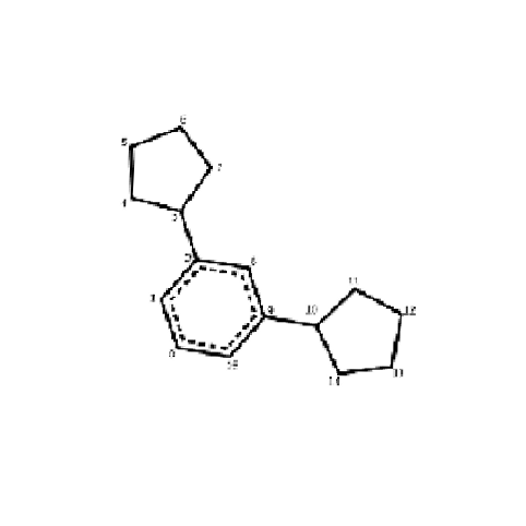 c1cc(C2CCCC2)cc(C2CCCC2)c1